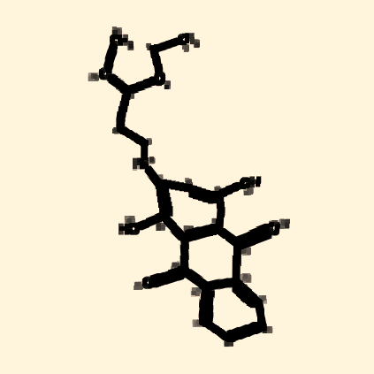 CCOC(CCNc1cc(O)c2c(c1O)C(=O)c1ccccc1C2=O)OC